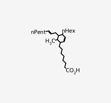 CCCCC/C=C/CC1C(CCCCCC)C=CC(CCCCCCCC(=O)O)C1C